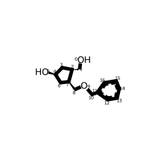 OC[C@H]1C[C@H](O)C[C@@H]1COCc1ccccc1